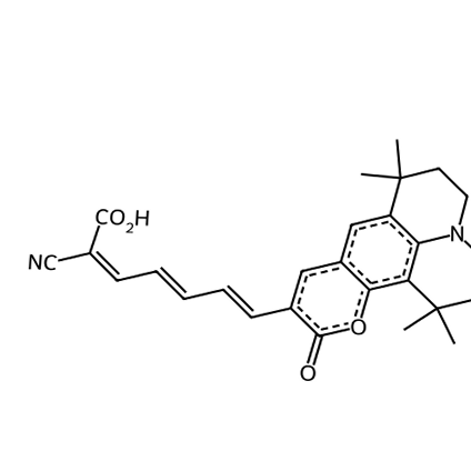 CC1(C)CCN2CCC(C)(C)c3c2c1cc1cc(C=CC=CC=C(C#N)C(=O)O)c(=O)oc31